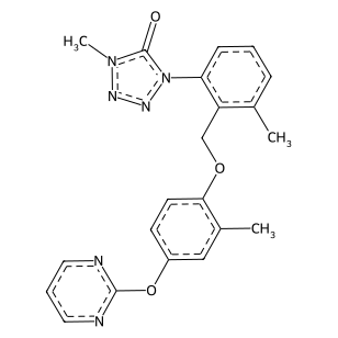 Cc1cc(Oc2ncccn2)ccc1OCc1c(C)cccc1-n1nnn(C)c1=O